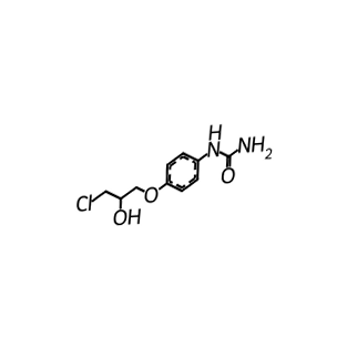 NC(=O)Nc1ccc(OCC(O)CCl)cc1